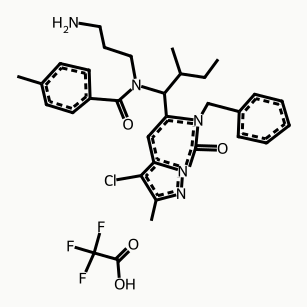 CCC(C)C(c1cc2c(Cl)c(C)nn2c(=O)n1Cc1ccccc1)N(CCCN)C(=O)c1ccc(C)cc1.O=C(O)C(F)(F)F